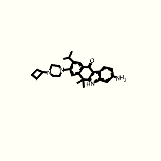 CC(C)c1cc2c(cc1N1CCN(C3CCC3)CC1)C(C)(C)c1[nH]c3cc(N)ccc3c1C2=O